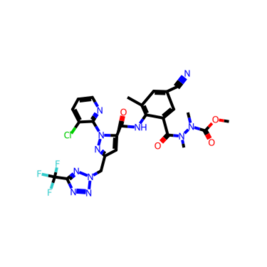 COC(=O)N(C)N(C)C(=O)c1cc(C#N)cc(C)c1NC(=O)c1cc(Cn2nnc(C(F)(F)F)n2)nn1-c1ncccc1Cl